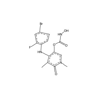 Cc1c(Nc2ccc(Br)cc2F)c(OC(=O)NO)cn(C)c1=O